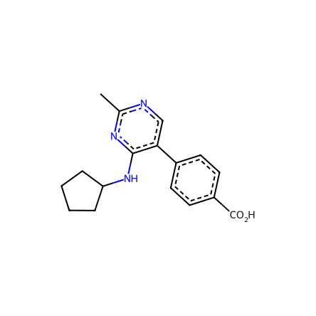 Cc1ncc(-c2ccc(C(=O)O)cc2)c(NC2CCCC2)n1